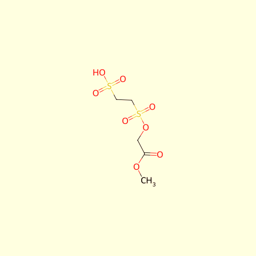 COC(=O)COS(=O)(=O)CCS(=O)(=O)O